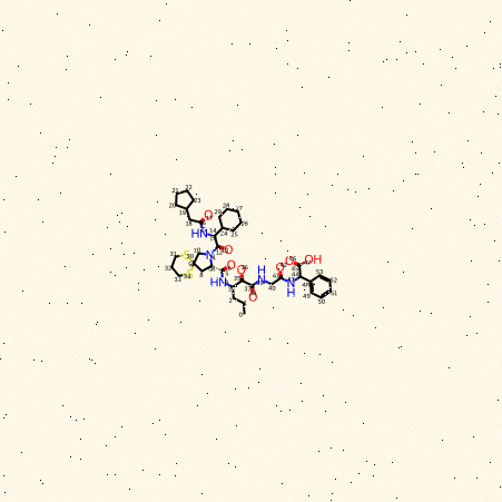 CCCC(NC(=O)[C@@H]1CC2(CN1C(=O)[C@@H](NC(=O)CC1CCCC1)C1CCCCC1)SCCCS2)C(=O)C(=O)NCC(=O)NC(C(=O)O)c1ccccc1